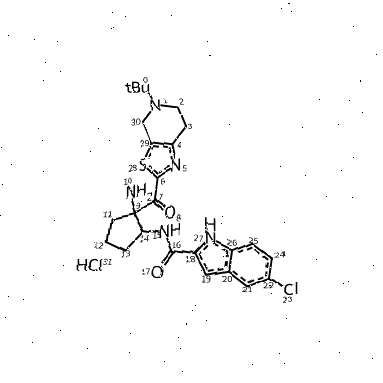 CC(C)(C)N1CCc2nc(C(=O)C3(N)CCCC3NC(=O)c3cc4cc(Cl)ccc4[nH]3)sc2C1.Cl